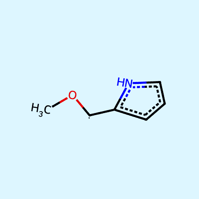 CO[CH]c1ccc[nH]1